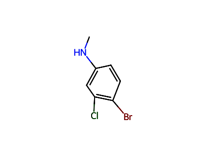 CNc1ccc(Br)c(Cl)c1